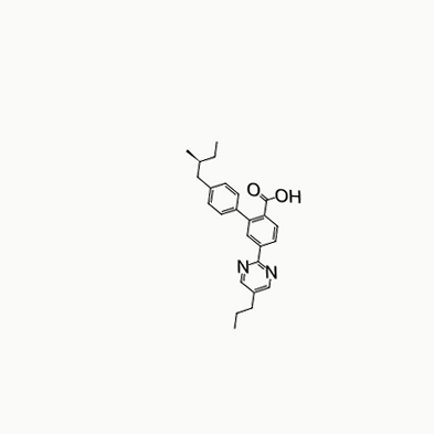 CCCc1cnc(-c2ccc(C(=O)O)c(-c3ccc(C[C@@H](C)CC)cc3)c2)nc1